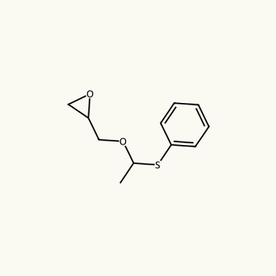 CC(OCC1CO1)Sc1ccccc1